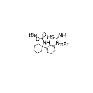 CCCN(C(=N)S)c1cccc(C2(NC(=O)OC(C)(C)C)CCCCC2)c1